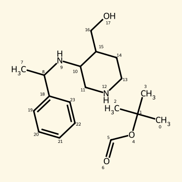 CC(C)(C)OC=O.CC(NC1CNCCC1CO)c1ccccc1